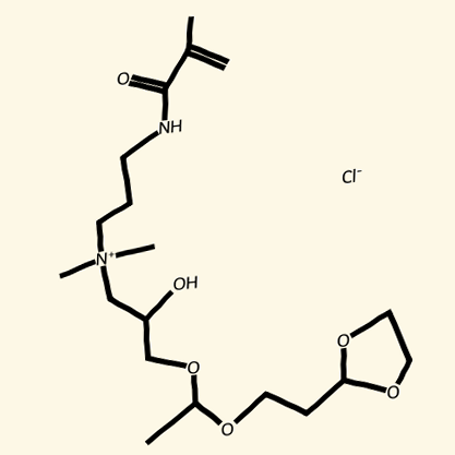 C=C(C)C(=O)NCCC[N+](C)(C)CC(O)COC(C)OCCC1OCCO1.[Cl-]